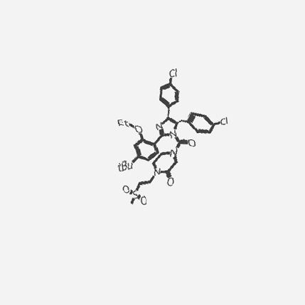 CCOc1cc(C(C)(C)C)ccc1C1=N[C@@H](c2ccc(Cl)cc2)[C@@H](c2ccc(Cl)cc2)N1C(=O)N1CCN(CCS(C)(=O)=O)C(=O)C1